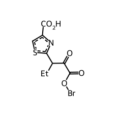 CCC(C(=O)C(=O)OBr)c1nc(C(=O)O)cs1